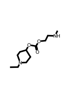 CCN1CCC(OC(=O)OCCNC)CC1